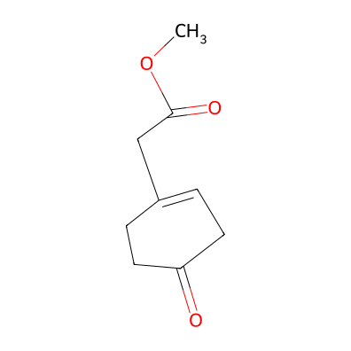 COC(=O)CC1=CCC(=O)CC1